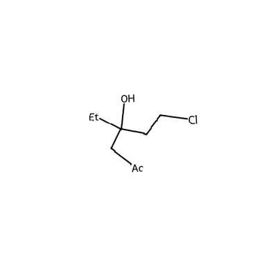 CCC(O)(CCCl)CC(C)=O